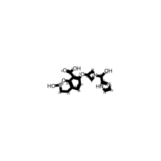 O=C(O)c1c(OC2CN(C(O)c3ncc[nH]3)C2)ccc2c1OB(O)CC2